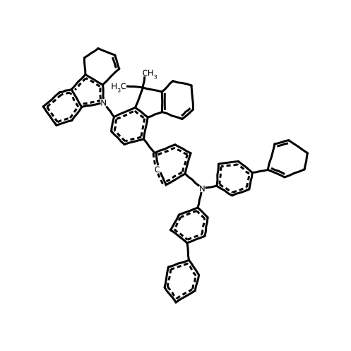 CC1(C)C2=C(C=CCC2)c2c(-c3ccc(N(c4ccc(C5=CCCC=C5)cc4)c4ccc(-c5ccccc5)cc4)cc3)ccc(-n3c4c(c5ccccc53)CCC=C4)c21